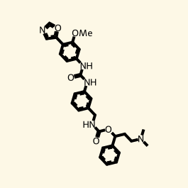 COc1cc(NC(=O)Nc2cccc(CNC(=O)OC(CCN(C)C)c3ccccc3)c2)ccc1-c1cnco1